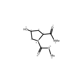 CNC(=O)C1CC(O)CN1C(=O)OC(C)(C)C